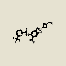 O=C(Nc1cc2cn([C@H]3C[C@H](CI)C3)nc2cc1C(F)F)c1cccc(C(F)(F)F)n1